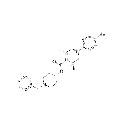 CC(=O)c1cnc(N2C[C@@H](C)N(C(=O)OC3CCN(Cc4ccccc4)CC3)[C@H](C)C2)nc1